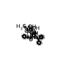 CCNC(=O)[C@H]1O[C@@H](n2cnc3c(NCC(c4ccccc4)c4ccccc4)nc(C(=O)NCc4ccccc4)nc32)[C@H](O)[C@@H]1O